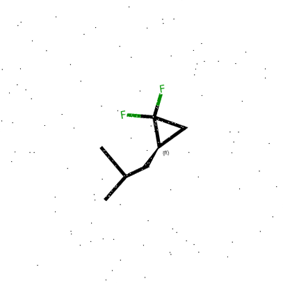 CC(C)C[C@@H]1CC1(F)F